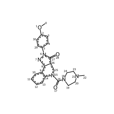 COc1ccc(-n2nc3c4ccccc4n(C(=O)N4CCN(C)CC4)cc-3c2=O)cc1